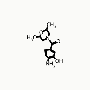 CC1CN(C(=O)c2ccc(N)c(O)c2)CC(C)O1